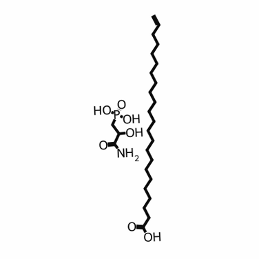 C=CCCCCCCCCCCCCCCCCCCCCC(=O)O.NC(=O)C(O)CP(=O)(O)O